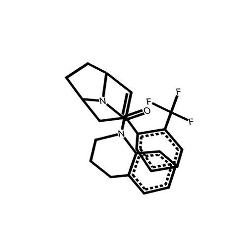 O=C(N1CCCc2ccccc21)N1C2C=C(c3ccccc3C(F)(F)F)CC1CC2